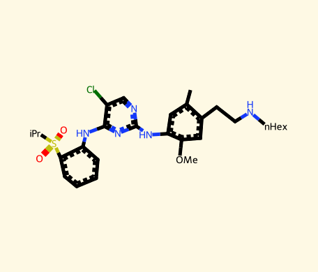 CCCCCCNCCc1cc(OC)c(Nc2ncc(Cl)c(Nc3ccccc3S(=O)(=O)C(C)C)n2)cc1C